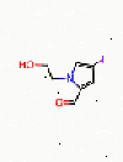 O=Cc1cc(I)cn1CCO